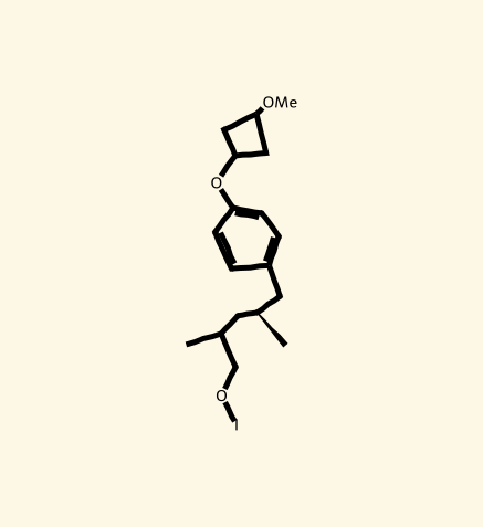 COC1CC(Oc2ccc(C[C@@H](C)CC(C)COI)cc2)C1